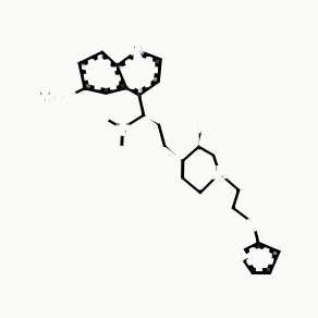 COc1ccc2nccc([C@@H](CC[C@@H]3CCN(CCSc4cccs4)C[C@@H]3C(=O)O)N(C)C)c2c1